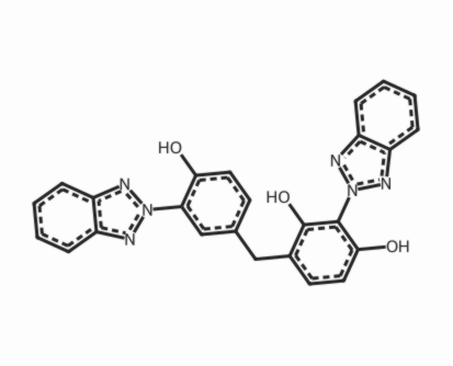 Oc1ccc(Cc2ccc(O)c(-n3nc4ccccc4n3)c2O)cc1-n1nc2ccccc2n1